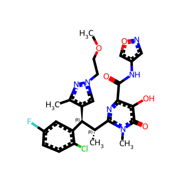 COCCn1cc([C@H](c2cc(F)ccc2Cl)[C@@H](C)c2nc(C(=O)Nc3cnoc3)c(O)c(=O)n2C)c(C)n1